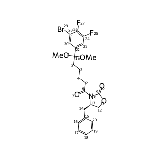 COC(CCCCC(=O)N1C(=O)OC[C@H]1Cc1ccccc1)(OC)c1cc(F)c(F)c(Br)c1